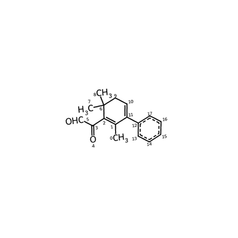 CC1=C(C(=O)C=O)C(C)(C)CC=C1c1ccccc1